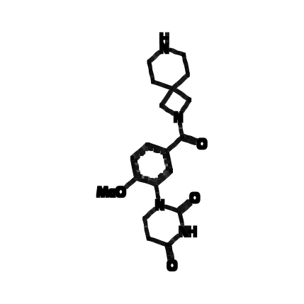 COc1ccc(C(=O)N2CC3(CCNCC3)C2)cc1N1CCC(=O)NC1=O